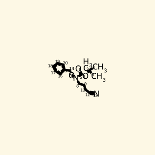 CC(C)(C)OC(=O)N(CCCC#N)OCc1ccccc1